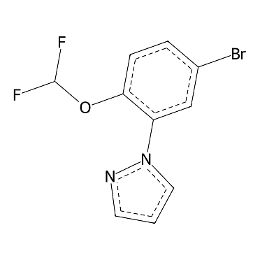 FC(F)Oc1ccc(Br)cc1-n1cccn1